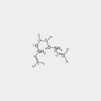 CC(C)=C[SiH2]OC(C)C(C)O[SiH2]C=C(C)C